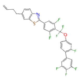 C=CCCc1ccc2nc(-c3cc(F)c(C(F)(F)Oc4ccc(-c5cc(F)c(F)c(F)c5)c(F)c4)c(F)c3)sc2c1